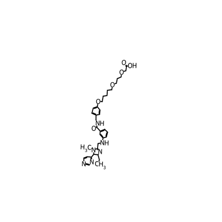 CCC1N=C(CNc2cccc(C(=O)NCc3ccc(OCCCCCOCCCOCC(=O)O)cc3)c2)N(C)C1c1ccncn1